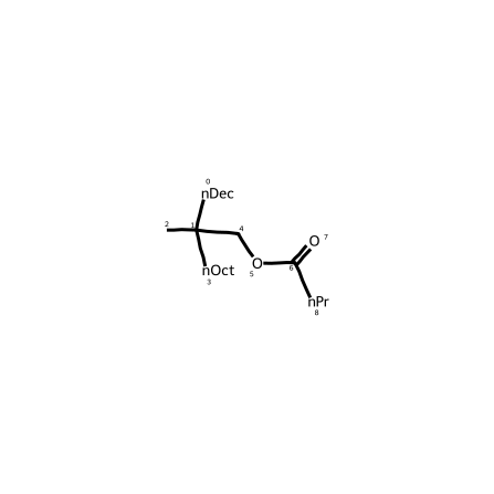 CCCCCCCCCCC(C)(CCCCCCCC)COC(=O)CCC